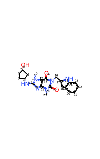 Cn1c(N[C@@H]2CC[C@H](O)C2)nc2c1c(=O)n(Cc1cc3ccccc3[nH]1)c(=O)n2C